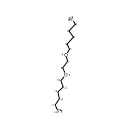 CC(C)CCCCCOCCOCCCCCC(C)C